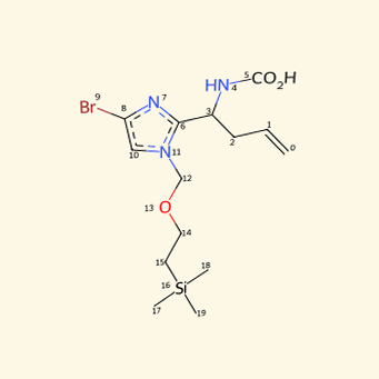 C=CCC(NC(=O)O)c1nc(Br)cn1COCC[Si](C)(C)C